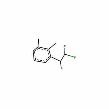 [CH2]C(c1cccc(C)c1C)C(F)F